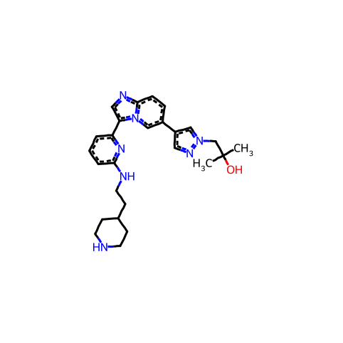 CC(C)(O)Cn1cc(-c2ccc3ncc(-c4cccc(NCCC5CCNCC5)n4)n3c2)cn1